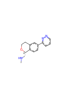 CNC[C@@H]1OCCc2cc(-c3cccnn3)ccc21